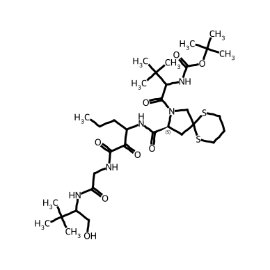 CCCC(NC(=O)[C@@H]1CC2(CN1C(=O)C(NC(=O)OC(C)(C)C)C(C)(C)C)SCCCS2)C(=O)C(=O)NCC(=O)NC(CO)C(C)(C)C